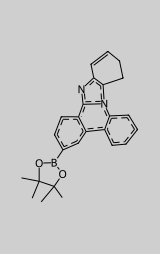 CC1(C)OB(c2ccc3c(c2)c2ccccc2n2c4c(nc32)C=CCC4)OC1(C)C